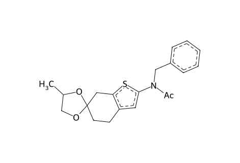 CC(=O)N(Cc1ccccc1)c1cc2c(s1)CC1(CC2)OCC(C)O1